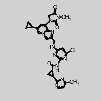 Cc1ccnc(C2CC2C(=O)Nc2nc(Cl)cc(NCc3cn4cc(C5CC5)cc(N5CC(=O)N(C)C5=O)c4n3)n2)n1